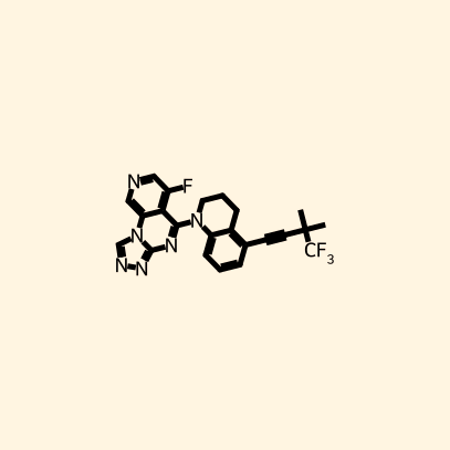 CC(C)(C#Cc1cccc2c1CCCN2c1nc2nncn2c2cncc(F)c12)C(F)(F)F